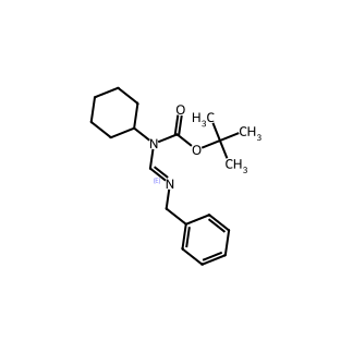 CC(C)(C)OC(=O)N(/C=N/Cc1ccccc1)C1CCCCC1